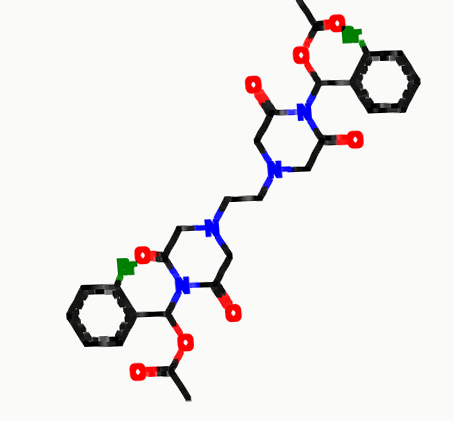 CC(=O)OC(c1ccccc1Br)N1C(=O)CN(CCN2CC(=O)N(C(OC(C)=O)c3ccccc3Br)C(=O)C2)CC1=O